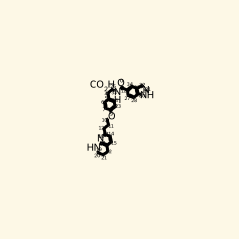 O=C(N[C@@H](Cc1ccc(OCCCc2ccc3c(n2)NCCC3)cc1)C(=O)O)c1ccc2[nH]ncc2c1